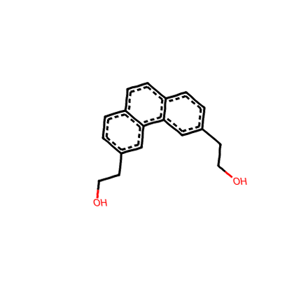 OCCc1ccc2ccc3ccc(CCO)cc3c2c1